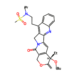 C=C1OCc2c(cc3n(c2=O)Cc2c-3nc3ccccc3c2CCN(C(C)C)S(C)(=O)=O)[C@]1(CC)OC(C)(C)C